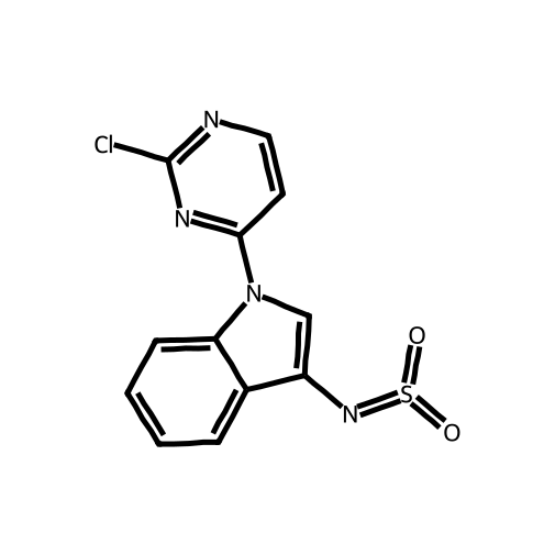 O=S(=O)=Nc1cn(-c2ccnc(Cl)n2)c2ccccc12